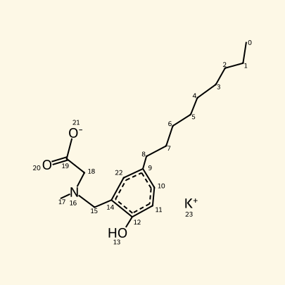 CCCCCCCCCc1ccc(O)c(CN(C)CC(=O)[O-])c1.[K+]